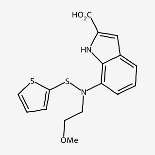 COCCN(Sc1cccs1)c1cccc2cc(C(=O)O)[nH]c12